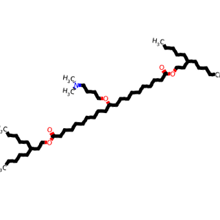 CCCCCC(CCCCC)CCOC(=O)CCCCCCCCCC(CCCCCCCCCC(=O)OCCC(CCCCC)CCCCC)OCCCCN(C)C